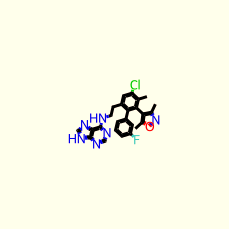 Cc1noc(C)c1-c1c(C)c(Cl)cc(CCNc2ncnc3[nH]cnc23)c1-c1cccc(F)c1